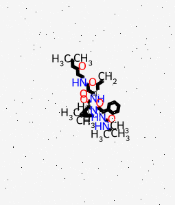 C=CCC[C@H](NC(=O)[C@@H]1[C@@H]2[C@H](CN1C(=O)[C@@H](NC(=O)NC(C)(C)C)C1CCCCC1)C2(C)C)C(=O)C(=O)NCCC(=O)CC(C)C